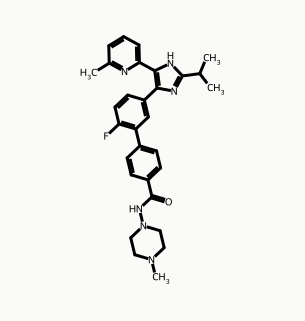 Cc1cccc(-c2[nH]c(C(C)C)nc2-c2ccc(F)c(-c3ccc(C(=O)NN4CCN(C)CC4)cc3)c2)n1